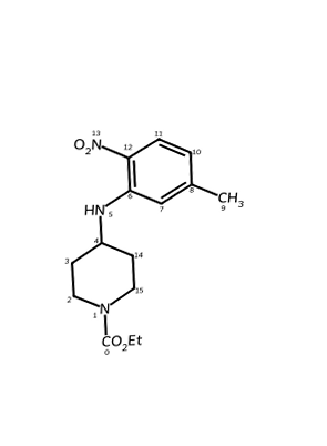 CCOC(=O)N1CCC(Nc2cc(C)ccc2[N+](=O)[O-])CC1